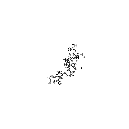 CC(=O)O[C@H]1CC[C@]2(C)C3C(=O)C=C4[C@@H]5C[C@@H](C(=O)ON6C(=O)c7ccccc7C6=O)CC[C@]5(C)CC[C@@]4(C)[C@]3(C)CC[C@H]2[C@H]1C